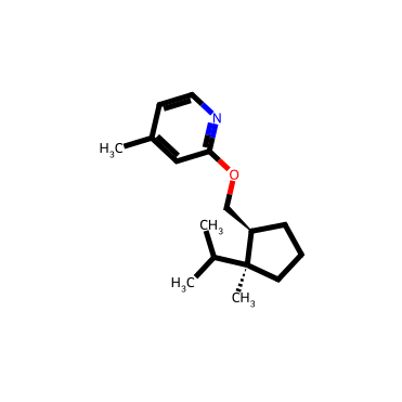 Cc1ccnc(OC[C@H]2CCC[C@@]2(C)C(C)C)c1